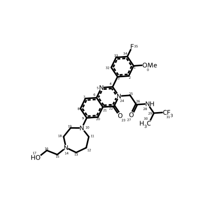 COc1cc(-c2nc3ccc(N4CCCN(CCO)CC4)cc3c(=O)n2CC(=O)NC(C)C(F)(F)F)ccc1F